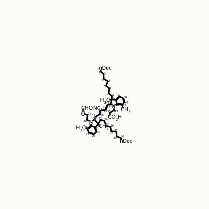 CCCCCCCCCCCCCCCCCCC1(C)C(/C=C/C(C#N)=C/C=C2/N(CCOC=O)c3c(C)cccc3C2(C)CCCCCCCCCCCCCCCCCC)=[N+](CCC(=O)O)c2c(C)cccc21